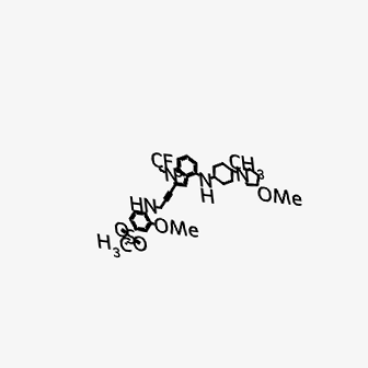 COc1cc(S(C)(=O)=O)ccc1NCC#Cc1cc2c(NC3CCC(C)(N4CCC(OC)C4)CC3)cccc2n1CC(F)(F)F